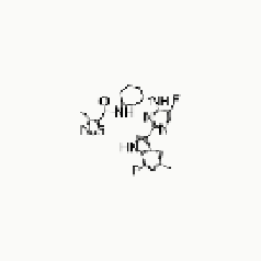 Cc1cc(F)c2[nH]cc(-c3ncc(F)c(N[C@@H]4CCC[C@@H](NC(=O)c5scnc5C)C4)n3)c2c1